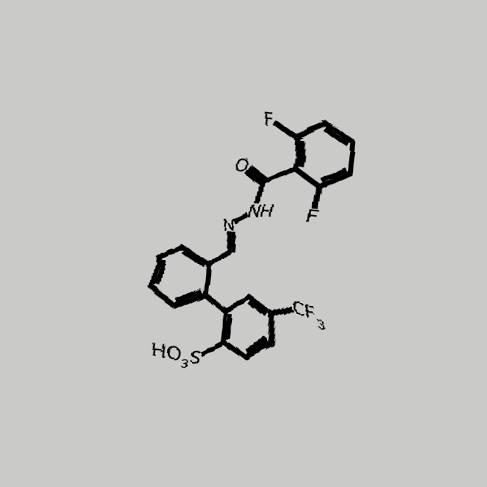 O=C(NN=Cc1ccccc1-c1cc(C(F)(F)F)ccc1S(=O)(=O)O)c1c(F)cccc1F